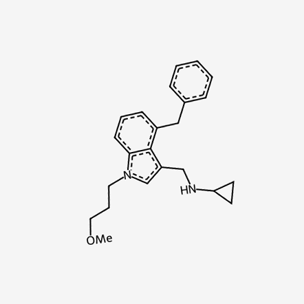 COCCCn1cc(CNC2CC2)c2c(Cc3ccccc3)cccc21